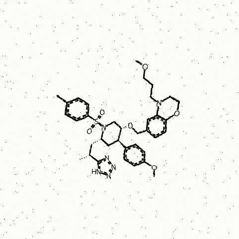 COCCCN1CCOc2ccc(CO[C@H]3CN(S(=O)(=O)c4ccc(C)cc4)[C@@H](C[C@@H](C)c4nnn[nH]4)C[C@@H]3c3ccc(OC)cc3)cc21